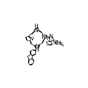 C1=Cc2cc3ccc(cc4nc(cc5ccc(cc1n2)[nH]5)C=C4)[nH]3.[Cu].[SiH4].c1cc2snnc2s1.c1ccc2c(c1)Cc1ccccc1-2